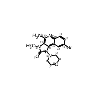 Cn1c(=O)n(N2CCOCC2)c2c3cc(Br)ccc3nc(N)c21